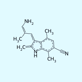 C=c1[nH]c2c(C)c(C#N)cc(C)c2/c1=C/C(C)=C\N